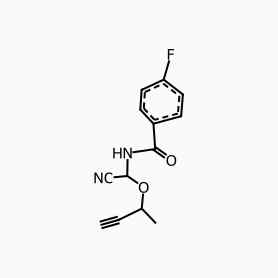 C#CC(C)OC(C#N)NC(=O)c1ccc(F)cc1